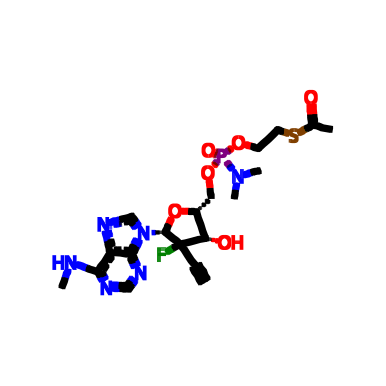 C#CC1(F)[C@@H](O)[C@@H](COP(=O)(OCCSC(C)=O)N(C)C)O[C@H]1n1cnc2c(NC)ncnc21